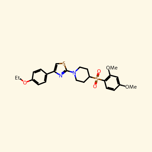 CCOc1ccc(-c2csc(N3CCC(S(=O)(=O)c4ccc(OC)cc4OC)CC3)n2)cc1